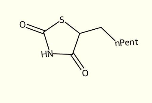 CCCCCCC1SC(=O)NC1=O